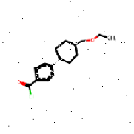 CCOC[C@H]1CC[C@H](c2ccc(C(=O)Cl)cc2)CC1